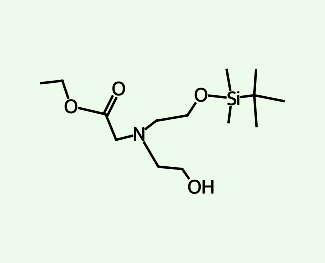 CCOC(=O)CN(CCO)CCO[Si](C)(C)C(C)(C)C